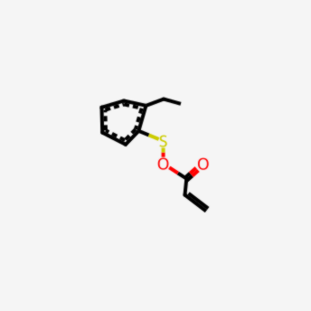 C=CC(=O)OSc1ccccc1CC